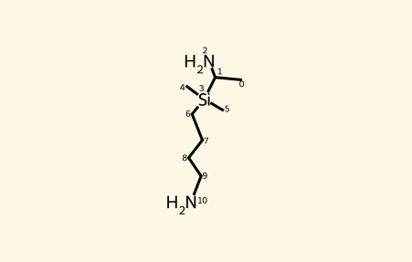 CC(N)[Si](C)(C)CCCCN